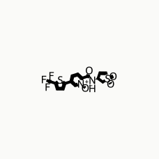 O=C(N[C@@H]1C=CS(=O)(=O)C1)c1ccc(-c2ccc(C(F)(F)F)s2)c[n+]1[O-]